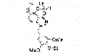 CCOc1ccc2c(Cc3cc(OC)c(OCC)c(OC)c3)cncc2c1OS(=O)(=O)C(F)(F)F